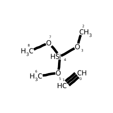 C#C.CO[SiH](OC)OC